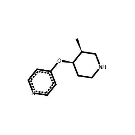 C[C@H]1CNCC[C@H]1Oc1ccncc1